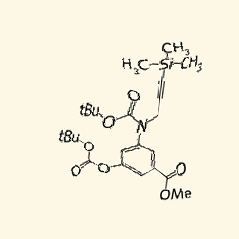 COC(=O)c1cc(OC(=O)OC(C)(C)C)cc(N(CC#C[Si](C)(C)C)C(=O)OC(C)(C)C)c1